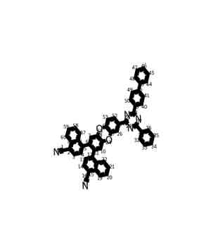 N#Cc1ccc(-c2cc3c(cc2-c2ccc(C#N)c4ccccc24)Oc2cc(-c4nc(-c5ccccc5)nc(-c5ccc(-c6ccccc6)cc5)n4)ccc2O3)c2ccccc12